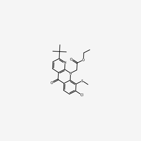 CCOC(=O)Cn1c2nc(C(C)(C)C)ccc2c(=O)c2ccc(Cl)c(SC)c21